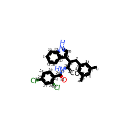 Cc1cc(C)cc(CC(c2c[nH]c3ccccc23)C(NC(=O)c2ccc(Cl)cc2Cl)C(=O)O)c1